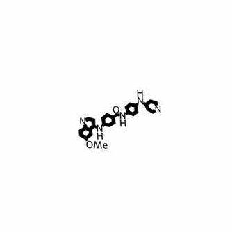 COc1ccc2nccc(Nc3ccc(C(=O)Nc4ccc(Nc5ccncc5)cc4)cc3)c2c1